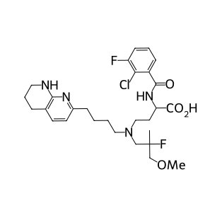 COCC(C)(F)CN(CCCCc1ccc2c(n1)NCCC2)CCC(NC(=O)c1cccc(F)c1Cl)C(=O)O